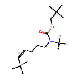 CC(C)(C)/C=C\CCCN(C(=O)OCC(C)(C)C)C(C)(C)C